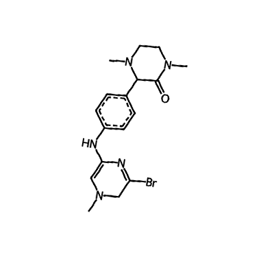 CN1C=C(Nc2ccc(C3C(=O)N(C)CCN3C)cc2)N=C(Br)C1